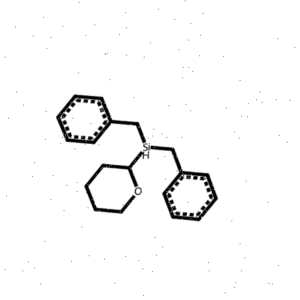 c1ccc(C[SiH](Cc2ccccc2)C2CCCCO2)cc1